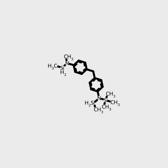 C[SiH2]N(C)c1ccc(Cc2ccc(N([SiH2]C)[Si](C)(C)C)cc2)cc1